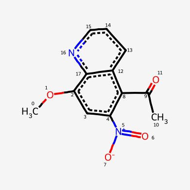 COc1cc([N+](=O)[O-])c(C(C)=O)c2cccnc12